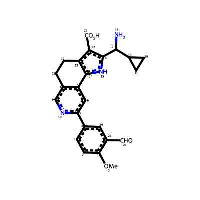 COc1ccc(-c2cc3c(cn2)CCc2c-3[nH]c(C(N)C3CC3)c2C(=O)O)cc1C=O